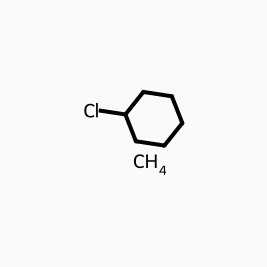 C.ClC1CCCCC1